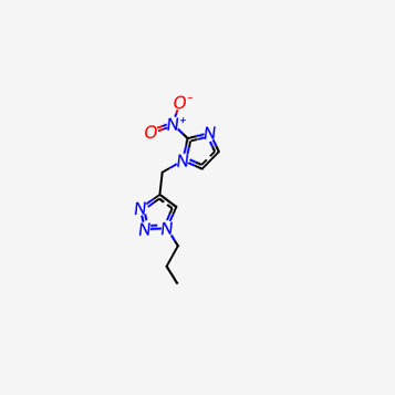 CCCn1cc(Cn2ccnc2[N+](=O)[O-])nn1